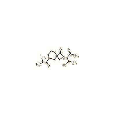 CC(C)C(=O)N1CCCC2(C1)CN([C@H](C(N)=O)[C@@H](C)O)C2=O